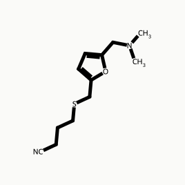 CN(C)Cc1ccc(CSCCCC#N)o1